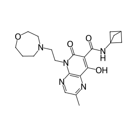 Cc1cnc2c(n1)c(O)c(C(=O)NC13CC(C1)C3)c(=O)n2CCN1CCCOCC1